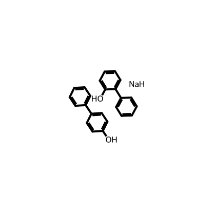 Oc1ccc(-c2ccccc2)cc1.Oc1ccccc1-c1ccccc1.[NaH]